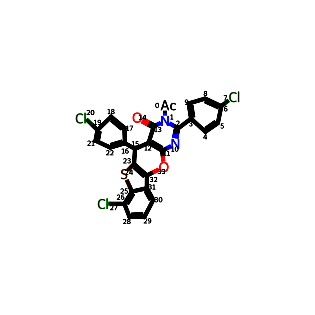 CC(=O)n1c(-c2ccc(Cl)cc2)nc2c(c1=O)C(c1ccc(Cl)cc1)c1sc3c(Cl)cccc3c1O2